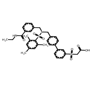 CCNC(=O)c1cccc(CN(Cc2ccc(-c3cccc(S(=O)(=O)CC(=O)O)c3)cc2)S(=O)(=O)c2c(C)cc(C)cc2C)c1